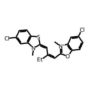 CCC(=Cc1oc2ccc(Cl)cc2[n+]1C)C=C1Sc2ccc(Cl)cc2N1C